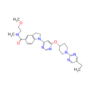 CCc1cnc(N2CCC(Oc3cc(N4CCc5cc(C(=O)N(C)CCOC)ccc54)ncn3)CC2)nc1